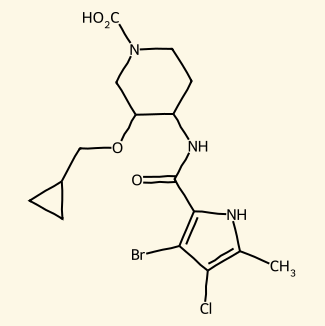 Cc1[nH]c(C(=O)NC2CCN(C(=O)O)CC2OCC2CC2)c(Br)c1Cl